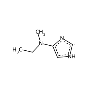 CCN(C)c1c[nH][c]n1